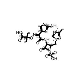 Cc1ncn(CC2C(NC(=O)/C(=N\OC(C)(C)C(=O)O)c3csc(N)n3)C(=O)N2S(=O)(=O)O)n1